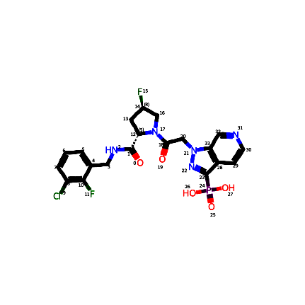 O=C(NCc1cccc(Cl)c1F)[C@@H]1C[C@@H](F)CN1C(=O)Cn1nc(P(=O)(O)O)c2ccncc21